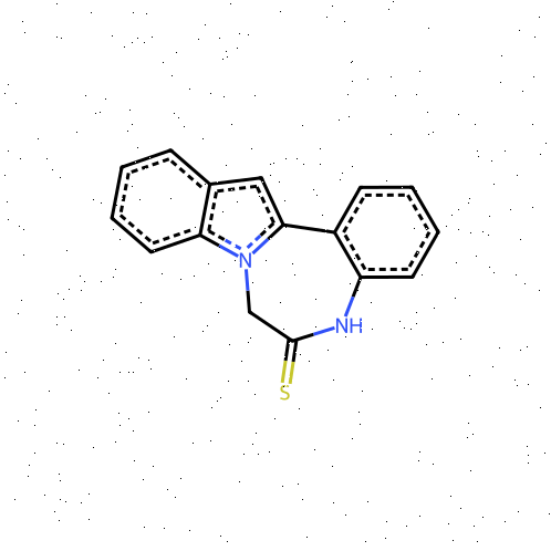 S=C1Cn2c(cc3ccccc32)-c2ccccc2N1